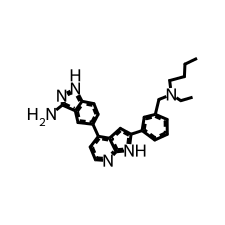 CCCCN(CC)Cc1cccc(-c2cc3c(-c4ccc5[nH]nc(N)c5c4)ccnc3[nH]2)c1